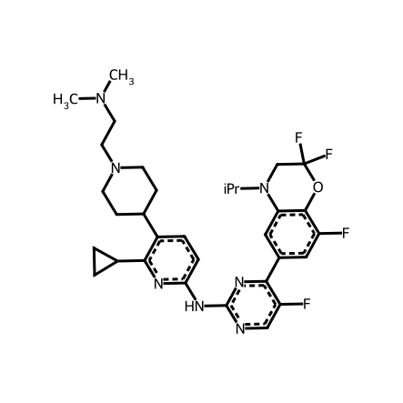 CC(C)N1CC(F)(F)Oc2c(F)cc(-c3nc(Nc4ccc(C5CCN(CCN(C)C)CC5)c(C5CC5)n4)ncc3F)cc21